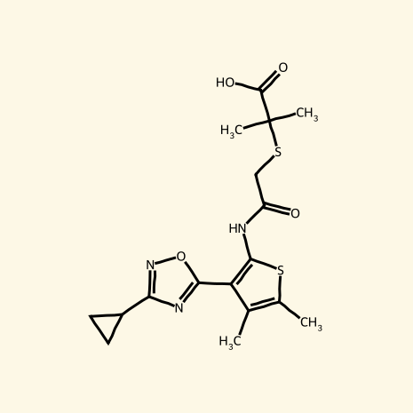 Cc1sc(NC(=O)CSC(C)(C)C(=O)O)c(-c2nc(C3CC3)no2)c1C